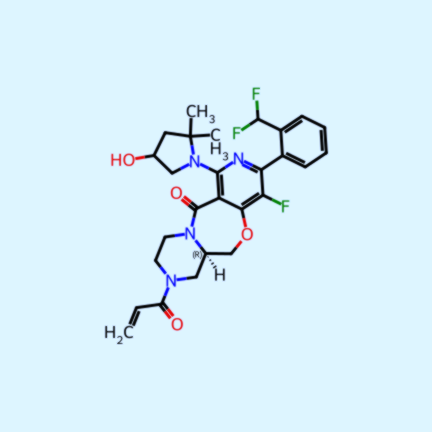 C=CC(=O)N1CCN2C(=O)c3c(N4CC(O)CC4(C)C)nc(-c4ccccc4C(F)F)c(F)c3OC[C@H]2C1